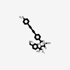 CC(O)(c1ccc(CN)cc1)[C@H](NC(=O)c1ccc(C#CC#Cc2ccc(N)cc2)cc1)C(=O)NO